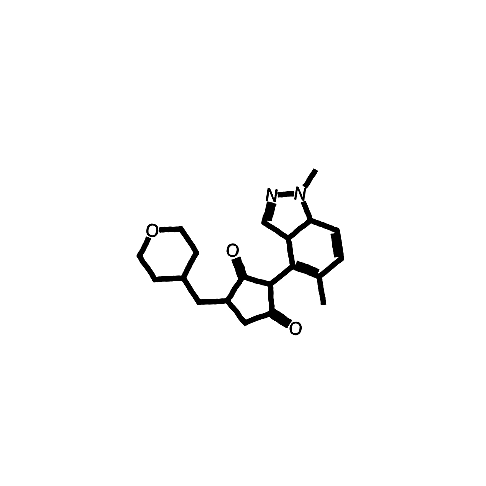 CC1=C(C2C(=O)CC(CC3CCOCC3)C2=O)C2C=NN(C)C2C=C1